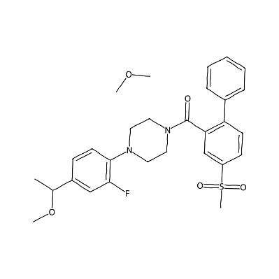 COC.COC(C)c1ccc(N2CCN(C(=O)c3cc(S(C)(=O)=O)ccc3-c3ccccc3)CC2)c(F)c1